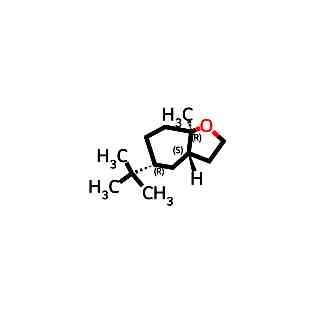 CC(C)(C)[C@@H]1CC[C@@]2(C)OCC[C@@H]2C1